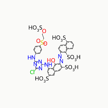 O=S(=O)(O)OCCS(=O)(=O)c1ccc(Nc2nc(Cl)nc(Nc3cc(S(=O)(=O)O)cc4cc(S(=O)(=O)O)c(N=Nc5ccc6c(S(=O)(=O)O)cccc6c5S(=O)(=O)O)c(O)c34)n2)cc1